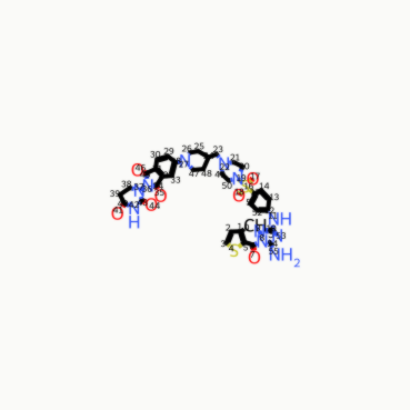 Cc1ccsc1C(=O)n1nc(Nc2ccc(S(=O)(=O)N3CCN(CC4CCN(c5ccc6c(c5)C(=O)N(N5CCC(=O)NC5=O)C6=O)CC4)CC3)cc2)nc1N